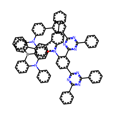 c1ccc(-c2ccc3c(c2)c2cc(-c4ccccc4)ccc2n3-c2ccc(-c3nc(-c4ccccc4)nc(-c4ccccc4)n3)cc2-c2nc(-c3ccccc3)nc(-c3cccc(-c4cccc(N5c6ccccc6B6c7ccccc7N(c7ccccc7)c7cccc5c76)c4)c3)n2)cc1